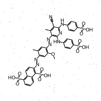 COc1cc(/N=N/c2ccc3c(S(=O)(=O)O)cccc3c2S(=O)(=O)O)c(C)cc1/N=N/c1c(Nc2ccc(S(=O)(=O)O)cc2)nc(Nc2ccc(S(=O)(=O)O)cc2)c(C#N)c1C